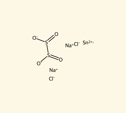 O=S([O-])S(=O)[O-].[Cl-].[Cl-].[Na+].[Na+].[Sn+2]